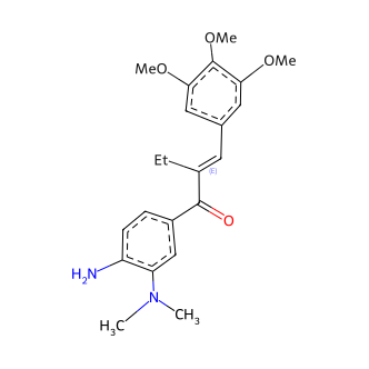 CC/C(=C\c1cc(OC)c(OC)c(OC)c1)C(=O)c1ccc(N)c(N(C)C)c1